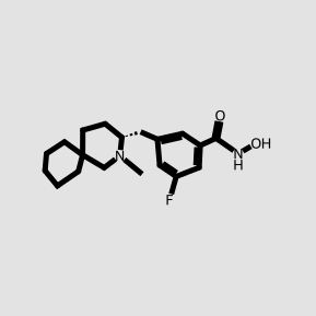 CN1CC2(CCCCC2)CC[C@@H]1Cc1cc(F)cc(C(=O)NO)c1